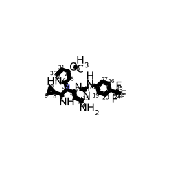 COC1=C/C(=C(/C(=N)C2CC2)c2cc(N)nc(Nc3ccc(C(F)(F)F)cc3)n2)NC=C1